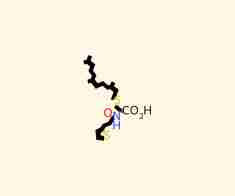 CC(C)=CCCC(C)=CCCC(C)=CCSCC(NC(=O)CCc1cccs1)C(=O)O